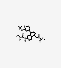 CCNC(=O)Nc1cc2c(-c3ccnc(OC(C)(C)C)c3)ccc(CNC(=O)OC)c2cn1